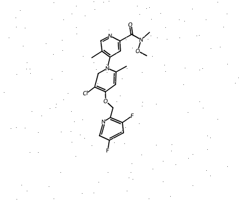 CON(C)C(=O)c1cc(N2CC(Cl)=C(OCc3ncc(F)cc3F)C=C2C)c(C)cn1